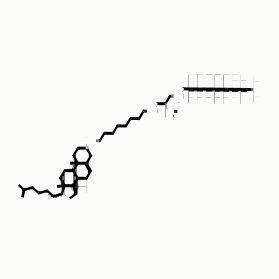 CC(C)CCC[C@@H](C)[C@H]1CC[C@H]2C3CC=C4CC(OCCCCCCCCOCC(COCC(F)(F)C(F)(F)C(F)(F)C(F)(F)C(F)(F)C(F)(F)C(F)(F)C(F)F)N(C)C)CCC4(C)[C@H]3CCC12C